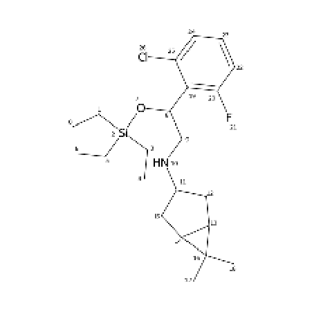 CC[Si](CC)(CC)OC(CNC1CC2C(C1)C2(C)C)c1c(F)cccc1Cl